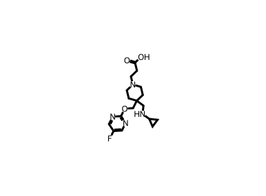 O=C(O)CCN1CCC(CNC2CC2)(COc2ncc(F)cn2)CC1